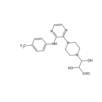 O=CC(O)C(O)N1CCN(c2nccnc2Nc2ccc(C(F)(F)F)cc2)CC1